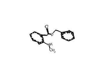 CNc1ccccc1C(=O)OCc1ccccc1